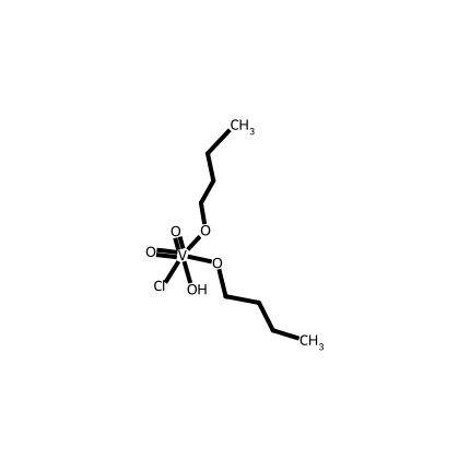 CCCC[O][V](=[O])(=[O])([OH])([Cl])[O]CCCC